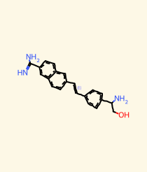 N=C(N)c1ccc2cc(/C=C/c3ccc(C(N)CO)cc3)ccc2c1